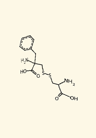 NC(CSSCC(N)(Cc1ccccc1)C(=O)O)C(=O)O